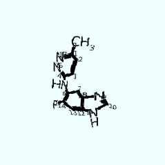 Cc1ccc(Nc2cc3nc[nH]c3cc2F)nn1